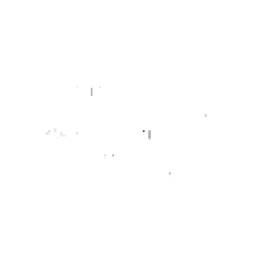 COC(=O)C(C=O)CNC12CC3CC(CC(C3)C1)C2